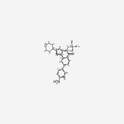 Nc1ccc(-c2ccc3c(=O)n(CC(F)(F)F)c4cc(C5CCOCC5)nn4c3c2)cn1